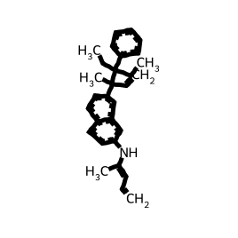 C=C/C=C(\C)Nc1ccc2ccc(C(C)(C=C)C(CC)(CC)c3ccccc3)cc2c1